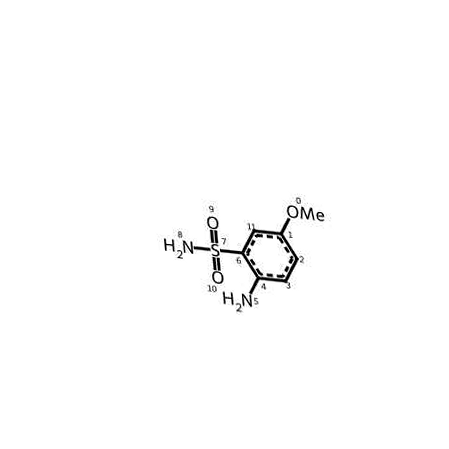 COc1ccc(N)c(S(N)(=O)=O)c1